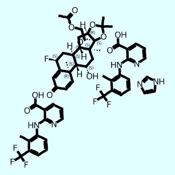 CC(=O)OCC(=O)[C@@]12OC(C)(C)O[C@@H]1C[C@H]1[C@@H]3C[C@H](F)C4=CC(=O)C=C[C@]4(C)[C@H]3[C@@H](O)C[C@@]12C.Cc1c(Nc2ncccc2C(=O)O)cccc1C(F)(F)F.Cc1c(Nc2ncccc2C(=O)O)cccc1C(F)(F)F.c1c[nH]cn1